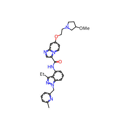 CCc1nn(Cc2cccc(C)n2)c2cccc(NC(=O)c3cnc4cc(OCCN5CCC(OC)C5)ccn34)c12